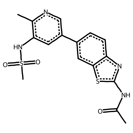 CC(=O)Nc1nc2ccc(-c3cnc(C)c(NS(C)(=O)=O)c3)cc2s1